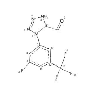 O=CC1NN=NN1c1cc(F)cc(C(F)(F)F)c1